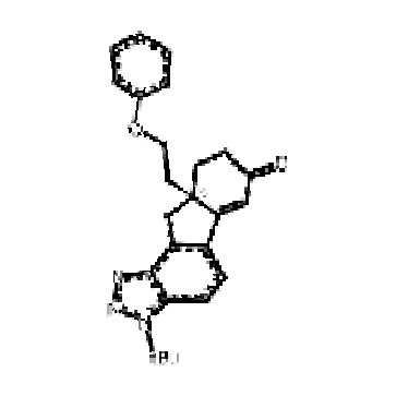 CC(C)(C)n1nnc2c3c(ccc21)C1=CC(=O)CC[C@@]1(CCOc1ccccc1)C3